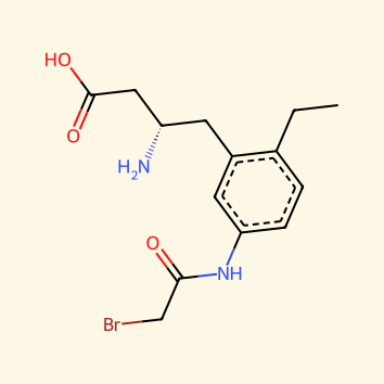 CCc1ccc(NC(=O)CBr)cc1C[C@H](N)CC(=O)O